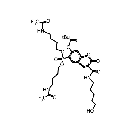 CC(C)(C)C(=O)Oc1cc2oc(=O)c(C(=O)NCCCCCO)cc2cc1P(=O)(OCCCCNC(=O)C(F)(F)F)OCCCCNC(=O)C(F)(F)F